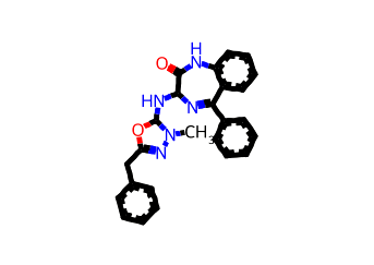 CN1N=C(Cc2ccccc2)OC1NC1N=C(c2ccccc2)c2ccccc2NC1=O